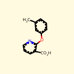 Cc1cccc(Oc2ncccc2C(=O)O)c1